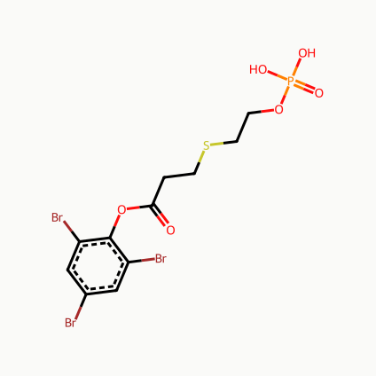 O=C(CCSCCOP(=O)(O)O)Oc1c(Br)cc(Br)cc1Br